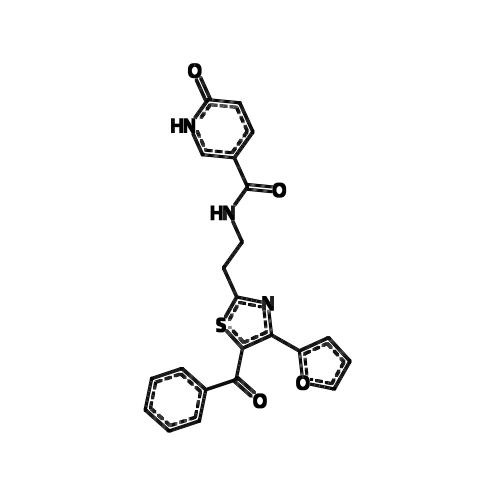 O=C(NCCc1nc(-c2ccco2)c(C(=O)c2ccccc2)s1)c1ccc(=O)[nH]c1